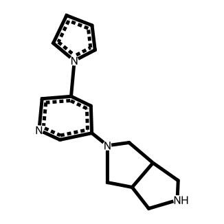 c1ccn(-c2cncc(N3CC4CNCC4C3)c2)c1